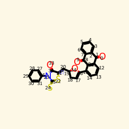 O=C1c2ccccc2C(=O)c2c1cccc2C1=CCC(/C=C2\SC(=S)N(c3ccccc3)C2=O)O1